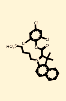 CC1(C)C(C(=O)Oc2c(Cl)cc(Cl)cc2Cl)=[N+](CCCCS(=O)(=O)O)c2ccc3ccccc3c21